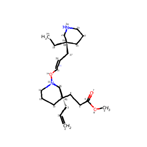 C=CC[C@]1(CCC(=O)OC)CCCN(O/C=C/C[C@]2(CC)CCCNC2)C1